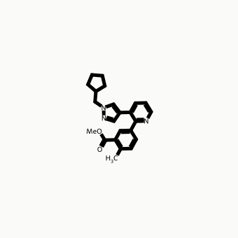 COC(=O)c1cc(-c2ncccc2-c2cnn(CC3CCCC3)c2)ccc1C